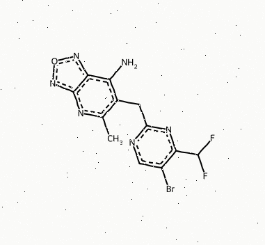 Cc1nc2nonc2c(N)c1Cc1ncc(Br)c(C(F)F)n1